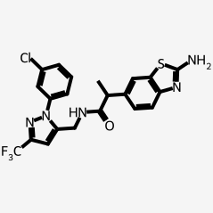 CC(C(=O)NCc1cc(C(F)(F)F)nn1-c1cccc(Cl)c1)c1ccc2nc(N)sc2c1